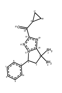 BC1(B)CC(c2ccccc2)n2nc(C(=O)C3CC3)nc21